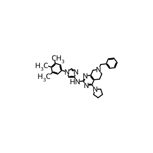 Cc1cc(-n2cnc(Nc3nc4c(c(N5CCCC5)n3)CCN(Cc3ccccc3)C4)c2)cc(C)c1C